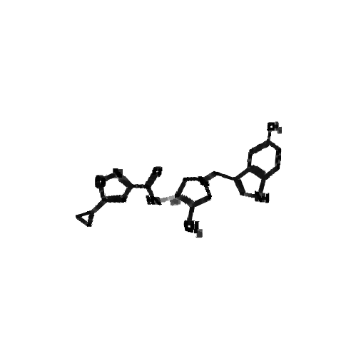 Cc1ccc2[nH]cc(CN3CC(C)[C@H](NC(=O)c4cc(C5CC5)on4)C3)c2c1